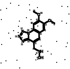 COc1cc2cc(CNO)c3nnnn3c2cc1OC